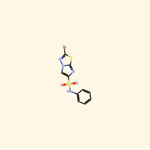 O=S(=O)(Nc1ccccc1)c1cn2nc(Br)sc2n1